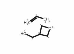 C=CC.OCC1COC1